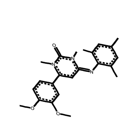 COc1ccc(-c2c/c(=N/c3c(C)cc(C)cc3C)n(C)c(=O)n2C)cc1OC